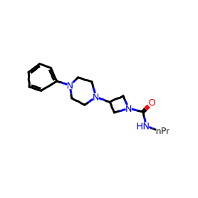 CCCNC(=O)N1CC(N2CCN(c3ccccc3)CC2)C1